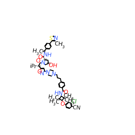 Cc1ncsc1-c1ccc([C@H](C)NC(=O)[C@@H]2C[C@@H](O)CN2C(=O)[C@H](c2cc(N3CCN(CCCc4ccc(C(=O)NC5C(C)(C)C(Oc6ccc(C#N)c(Cl)c6)C5(C)C)cc4)CC3)no2)C(C)C)cc1